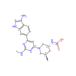 CNc1nc(-c2ccc3c(N)n[nH]c3c2)cc(N2C[C@H](C)C[C@@H](NC(=O)O)C2)n1